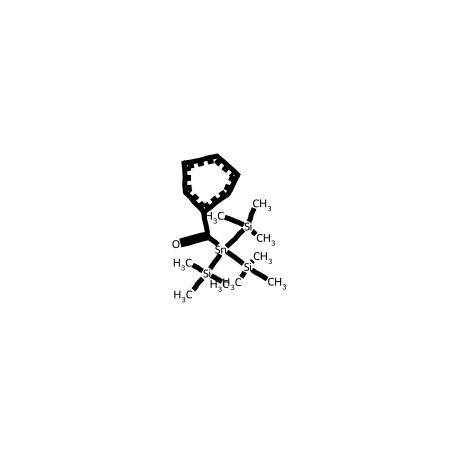 C[Si](C)(C)[Sn]([C](=O)c1ccccc1)([Si](C)(C)C)[Si](C)(C)C